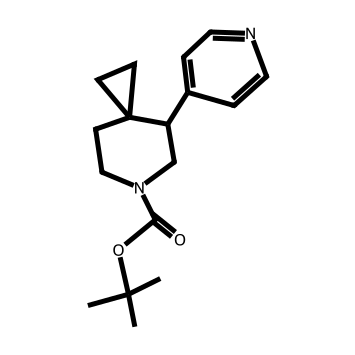 CC(C)(C)OC(=O)N1CCC2(CC2)C(c2ccncc2)C1